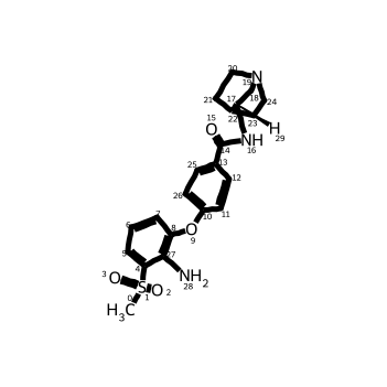 CS(=O)(=O)c1cccc(Oc2ccc(C(=O)N[C@H]3CN4CCC3CC4)cc2)c1N